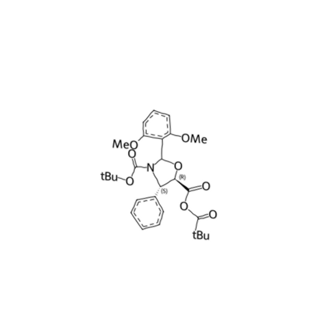 COc1cccc(OC)c1C1O[C@@H](C(=O)OC(=O)C(C)(C)C)[C@H](c2ccccc2)N1C(=O)OC(C)(C)C